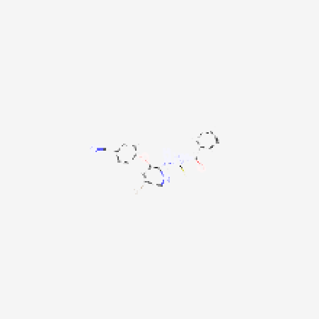 N#Cc1ccc(Oc2cc(Br)cnc2NC(=S)NC(=O)c2ccccc2)cc1